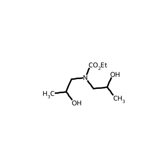 C[CH]OC(=O)N(CC(C)O)CC(C)O